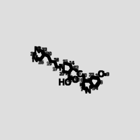 COc1ccc2nccc(CCC[C@@H]3CCN(CCCCc4cncnc4)C[C@@H]3C(=O)O)c2c1